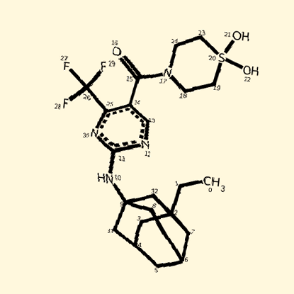 CCC12CC3CC(C1)CC(Nc1ncc(C(=O)N4CCS(O)(O)CC4)c(C(F)(F)F)n1)(C3)C2